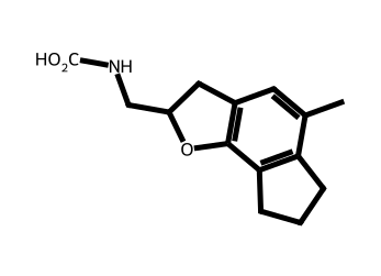 Cc1cc2c(c3c1CCC3)OC(CNC(=O)O)C2